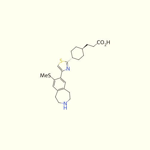 CSc1cc2c(cc1-c1csc([C@H]3CC[C@H](CCC(=O)O)CC3)n1)CCNCC2